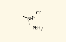 C[NH+](C)C.[Cl-].[PbH2]